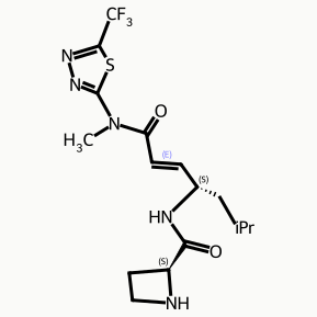 CC(C)C[C@@H](/C=C/C(=O)N(C)c1nnc(C(F)(F)F)s1)NC(=O)[C@@H]1CCN1